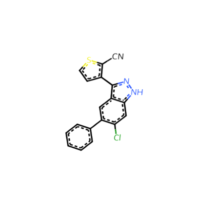 N#Cc1sccc1-c1n[nH]c2cc(Cl)c(-c3ccccc3)cc12